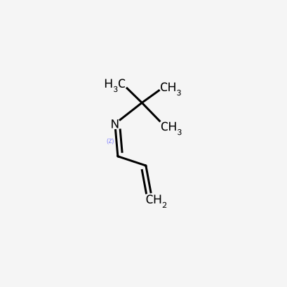 C=C/C=N\C(C)(C)C